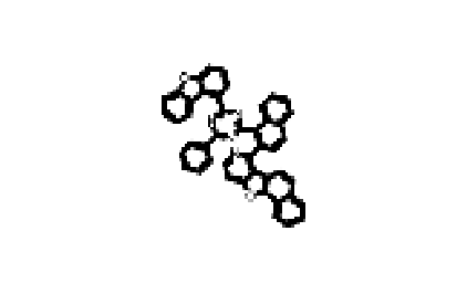 c1ccc(-c2nc(-c3c(-c4nccc5oc6c7ccccc7ccc6c45)ccc4ccccc34)nc(-c3cccc4oc5ccccc5c34)n2)cc1